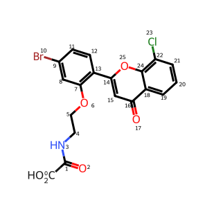 O=C(O)C(=O)NCCOc1cc(Br)ccc1-c1cc(=O)c2cccc(Cl)c2o1